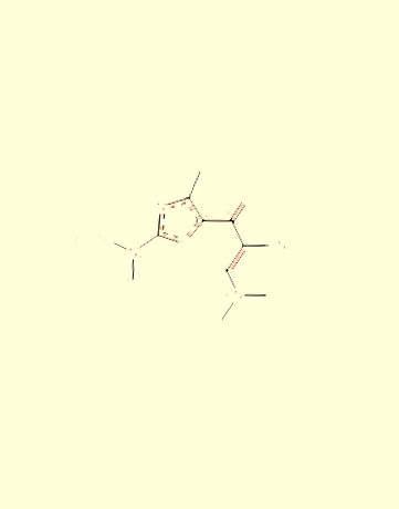 Cc1nc(N(C)C(=O)O)sc1C(=O)C(C#N)=CN(C)C